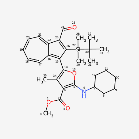 COC(=O)c1c(NC2CCCCC2)oc(-c2c3cccccc-3c(C=O)c2[Si](C)(C)C(C)(C)C)c1C